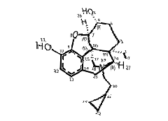 CC[C@@]12CC[C@@H](O)[C@@H]3Oc4c(O)ccc5c4[C@@]31CCN(CC1CC1)[C@@H]2C5